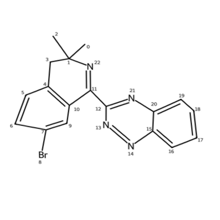 CC1(C)Cc2ccc(Br)cc2C(c2nnc3ccccc3n2)=N1